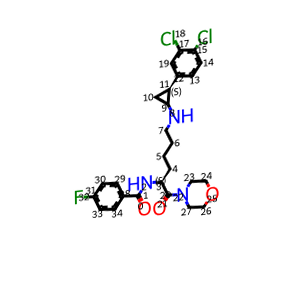 O=C(N[C@@H](CCCCNC1C[C@H]1c1ccc(Cl)c(Cl)c1)C(=O)N1CCOCC1)c1ccc(F)cc1